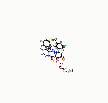 CCOC(=O)OCOc1c2n(ccc1=O)N([C@H]1c3ccc(F)cc3CSc3ccccc31)[C@@H]1CCCCN1C2=O